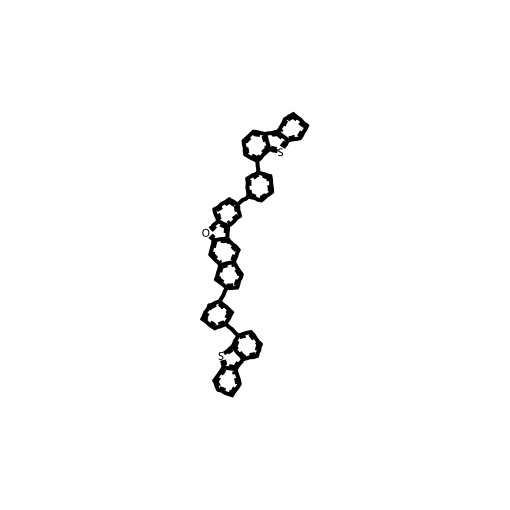 c1cc(-c2ccc3cc4c(cc3c2)oc2ccc(-c3cccc(-c5cccc6c5sc5ccccc56)c3)cc24)cc(-c2cccc3c2sc2ccccc23)c1